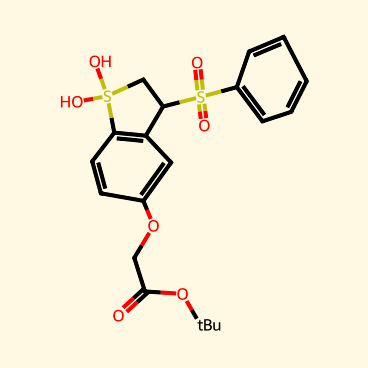 CC(C)(C)OC(=O)COc1ccc2c(c1)C(S(=O)(=O)c1ccccc1)CS2(O)O